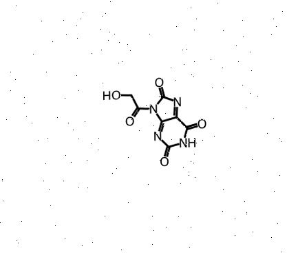 O=C1N=C2C(=NC(=O)N2C(=O)CO)C(=O)N1